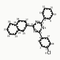 Clc1ccc(-c2nc(-c3ccccc3)nc(-c3ccc4ccccc4c3)n2)cc1